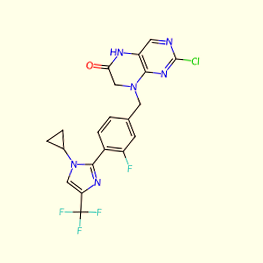 O=C1CN(Cc2ccc(-c3nc(C(F)(F)F)cn3C3CC3)c(F)c2)c2nc(Cl)ncc2N1